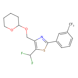 FC(F)c1sc(-c2cccc(C(F)(F)F)c2)nc1COC1CCCCO1